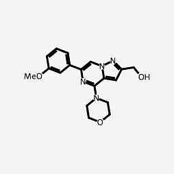 COc1cccc(-c2cn3nc(CO)cc3c(N3CCOCC3)n2)c1